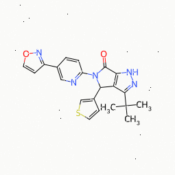 CC(C)(C)c1n[nH]c2c1C(c1ccsc1)N(c1ccc(-c3ccon3)cn1)C2=O